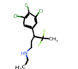 CCNCCC(c1cc(Cl)c(Cl)c(Cl)c1)C(C)(F)F